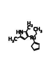 C[CH2][Ru]([C]1=CC=CC1)[c]1cc(C)[nH]c1C